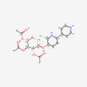 CC(=O)O[C@@H]1[C@@H](OC(C)=O)[C@H](OC(C)=O)CS[C@H]1Oc1ccc(-c2ccncc2)nc1F